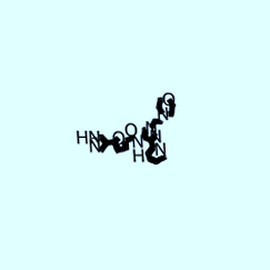 O=C(Nc1cn(CCN2CCOCC2)nc1-c1ccccn1)c1ccc(-c2cn[nH]c2)o1